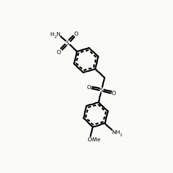 COc1ccc(S(=O)(=O)Cc2ccc(S(N)(=O)=O)cc2)cc1N